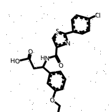 CCOc1cccc(C(CC(=O)O)NC(=O)c2csc(-c3ccc(Cl)cc3)n2)c1